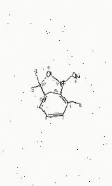 Cc1cccc2c1B(O)OC2(C)C